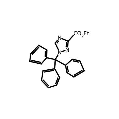 CCOC(=O)c1ncn(C(c2ccccc2)(c2ccccc2)c2ccccc2)n1